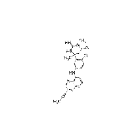 CC#Cc1cnc2c(Nc3ccc(Cl)c(C4(C)CC(=O)N(C)C(=N)N4)c3)cccc2c1